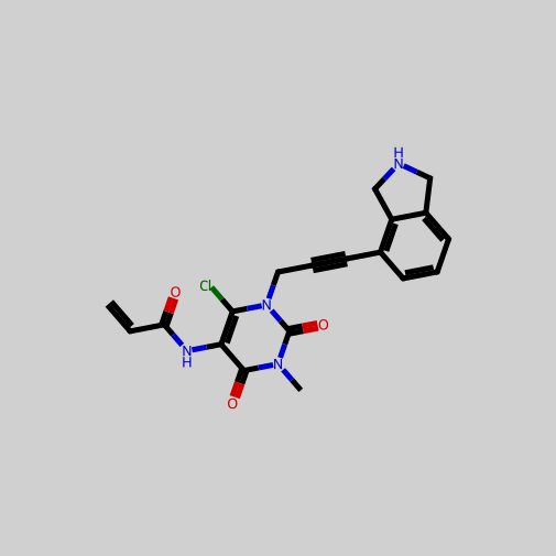 C=CC(=O)Nc1c(Cl)n(CC#Cc2cccc3c2CNC3)c(=O)n(C)c1=O